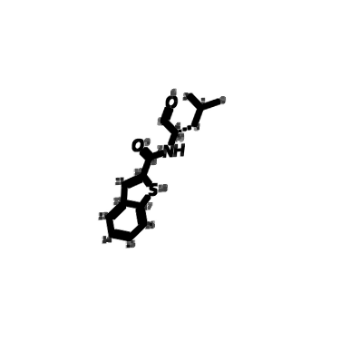 CC(C)C[C@@H]([C]=O)NC(=O)c1cc2ccccc2s1